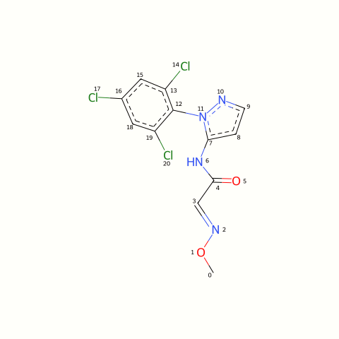 CON=CC(=O)Nc1ccnn1-c1c(Cl)cc(Cl)cc1Cl